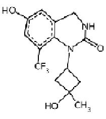 CC1(O)CC(N2C(=O)NCc3cc(O)cc(C(F)(F)F)c32)C1